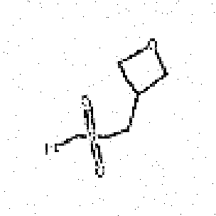 CCS(=O)(=O)CC1COC1